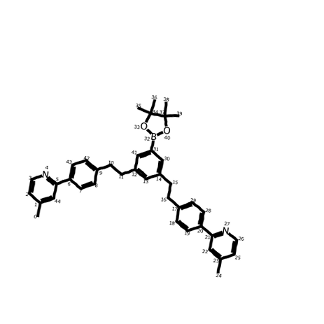 Cc1ccnc(-c2ccc(CCc3cc(CCc4ccc(-c5cc(C)ccn5)cc4)cc(B4OC(C)(C)C(C)(C)O4)c3)cc2)c1